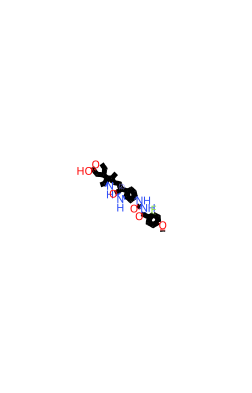 CCC(CC(=O)O)c1c(C)[nH]c(/C=C2\C(=O)Nc3cc(NC(=O)NC(=O)c4ccc(OC)cc4F)ccc32)c1C